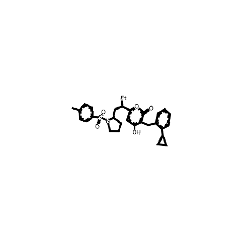 CCC(CC1CCCN1S(=O)(=O)c1ccc(C)cc1)c1cc(O)c(Cc2ccccc2C2CC2)c(=O)o1